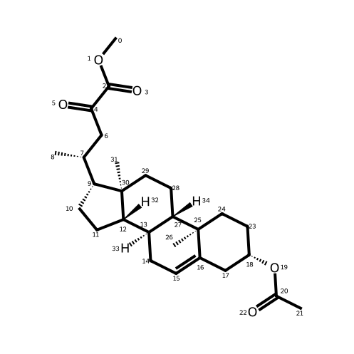 COC(=O)C(=O)C[C@@H](C)[C@H]1CC[C@H]2[C@@H]3CC=C4C[C@@H](OC(C)=O)CC[C@]4(C)[C@H]3CC[C@]12C